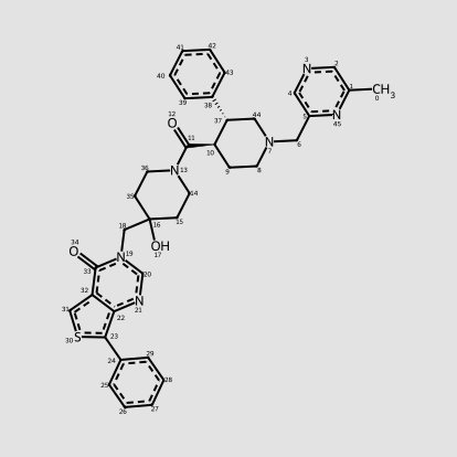 Cc1cncc(CN2CC[C@@H](C(=O)N3CCC(O)(Cn4cnc5c(-c6ccccc6)scc5c4=O)CC3)[C@H](c3ccccc3)C2)n1